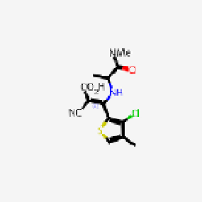 CNC(=O)C(C)N/C(=C(/C#N)C(=O)O)c1scc(C)c1Cl